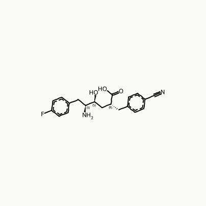 N#Cc1ccc(C[C@H](C[C@H](O)[C@@H](N)Cc2ccc(F)cc2)C(=O)O)cc1